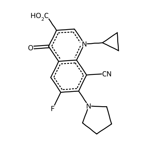 N#Cc1c(N2CCCC2)c(F)cc2c(=O)c(C(=O)O)cn(C3CC3)c12